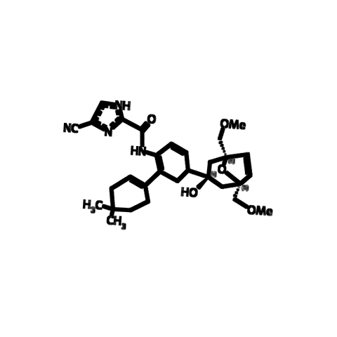 COC[C@@]12C=C[C@@](COC)(C[C@](O)(C3C=CC(NC(=O)c4nc(C#N)c[nH]4)=C(C4=CCC(C)(C)CC4)C3)C1)O2